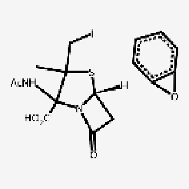 CC(=O)NC1(C(=O)O)N2C(=O)C[C@H]2SC1(C)CI.c1ccc2c(c1)O2